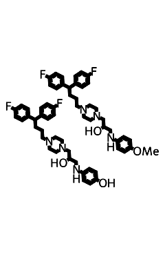 COc1ccc(NCC(O)CN2CCN(CCCC(c3ccc(F)cc3)c3ccc(F)cc3)CC2)cc1.Oc1ccc(NCC(O)CN2CCN(CCCC(c3ccc(F)cc3)c3ccc(F)cc3)CC2)cc1